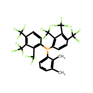 Cc1cccc(P(c2ccc(C(F)(F)F)c(C(F)(F)F)c2C(F)(F)F)c2ccc(C(F)(F)F)c(C(F)(F)F)c2C(F)(F)F)c1C